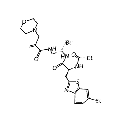 C=C(CN1CCOCC1)C(=O)NC[C@@H](NC(=O)[C@H](Cc1nc2ccc(CC)cc2s1)NC(=O)CC)[C@@H](C)CC